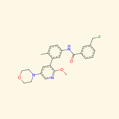 COc1ncc(N2CCOCC2)cc1-c1cc(NC(=O)c2cccc(CF)c2)ccc1C